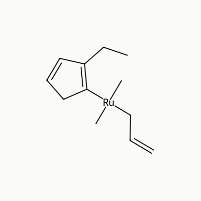 C=C[CH2][Ru]([CH3])([CH3])[C]1=C(CC)C=CC1